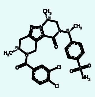 C[C@@H]1Cc2nn3c(c2CN1C(=O)c1ccc(Cl)c(Cl)c1)C(=O)N([C@H](C)c1ccc(S(N)(=O)=O)cc1)C[C@H]3C